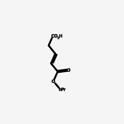 CCCOC(=O)C=CCC(=O)O